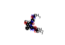 COc1ccc2c(c1)C1CC1(C(=O)N1CCC(c3nc(C)no3)CC1)Cn1c-2c(C2CCCCC2)c2ccc(C(=O)NS(=O)(=O)C(C)C)cc21